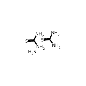 NC(N)=S.NC(N)=S.S